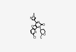 CC[C@H]1C[C@@H](n2c(=O)nc(-c3cnn(C)c3)c3oc4ccc(Cl)nc4c32)CCO1